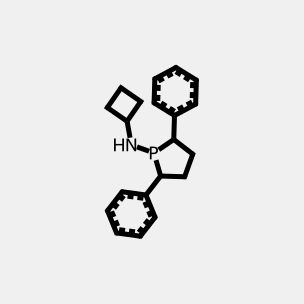 c1ccc(C2CCC(c3ccccc3)P2NC2CCC2)cc1